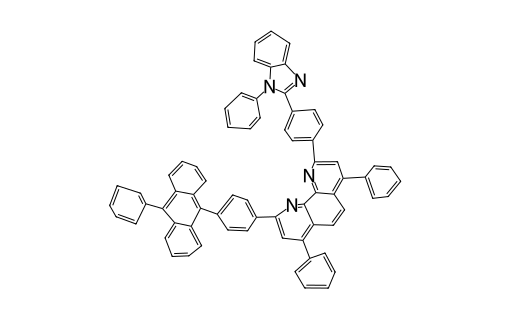 c1ccc(-c2c3ccccc3c(-c3ccc(-c4cc(-c5ccccc5)c5ccc6c(-c7ccccc7)cc(-c7ccc(-c8nc9ccccc9n8-c8ccccc8)cc7)nc6c5n4)cc3)c3ccccc23)cc1